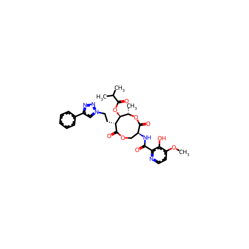 COc1ccnc(C(=O)N[C@H]2COC(=O)[C@H](CCn3cc(-c4ccccc4)nn3)[C@@H](OC(=O)C(C)C)[C@H](C)OC2=O)c1O